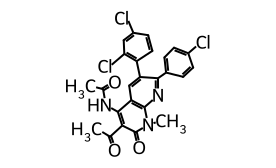 CC(=O)Nc1c(C(C)=O)c(=O)n(C)c2nc(-c3ccc(Cl)cc3)c(-c3ccc(Cl)cc3Cl)cc12